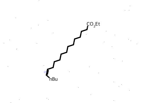 CCCC/C=C\CCCCCCCCCCCC(=O)OCC